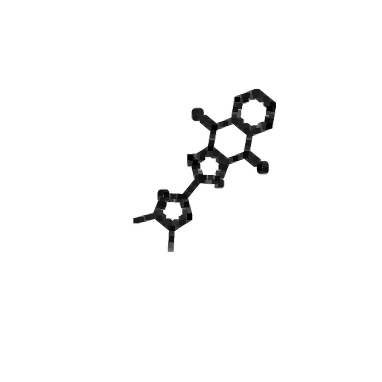 Cc1cc(-c2nc3c(s2)C(=O)c2ccccc2C3=O)oc1C